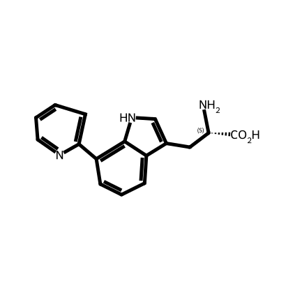 N[C@@H](Cc1c[nH]c2c(-c3ccccn3)cccc12)C(=O)O